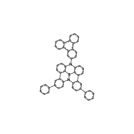 c1ccc(-c2ccc3c(c2)-c2cccc4c2B2c5c(cccc5N4c4ccc5c6ccccc6c6ccccc6c5c4)-c4cc(-c5ccccc5)ccc4N23)cc1